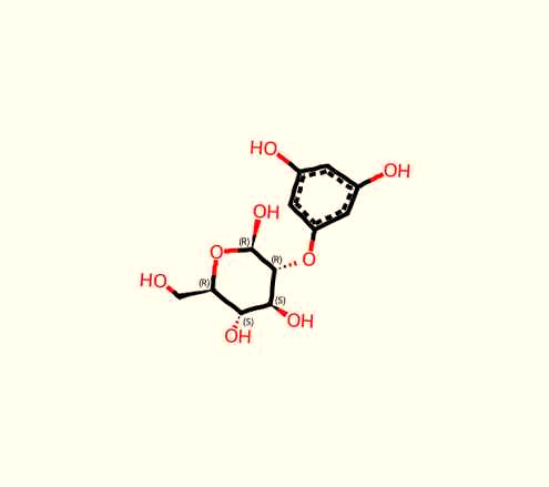 OC[C@H]1O[C@@H](O)[C@H](Oc2cc(O)cc(O)c2)[C@@H](O)[C@@H]1O